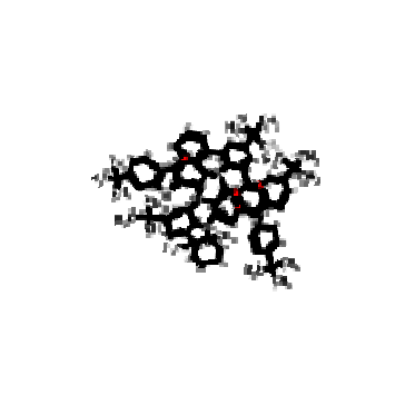 CC(C)(C)c1ccc(N(c2ccc(C(C)(C)C)cc2)c2cc3c4c(c2)N2c5c(cc(C(C)(C)C)cc5C5(C)CCCCC25C)B4c2c(ccc4c2oc2cc(C(C)(C)C)ccc24)N3c2c(-c3ccccc3)cc(C(C)(C)C)cc2-c2ccccc2)cc1